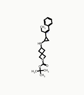 CC/C(=C\c1ccccc1)C1CC1NC1CC2(C1)CN(C(=O)OC(C)(C)C)C2